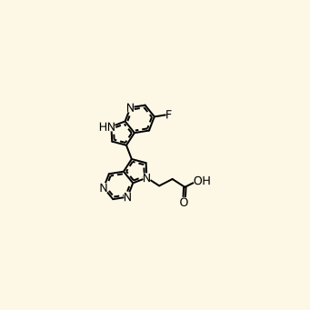 O=C(O)CCn1cc(-c2c[nH]c3ncc(F)cc23)c2cncnc21